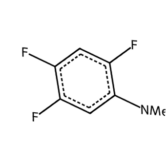 CNc1cc(F)c(F)cc1F